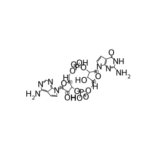 Nc1nc2c(ccn2[C@@H]2O[C@@H]3COP(=O)(O)OC4[C@@H](COP(=O)(O)OC2C3O)O[C@@H](n2ccc3c(N)ncnc32)[C@H]4O)c(=O)[nH]1